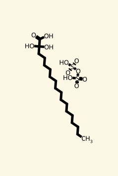 CCCCCCCCCCCCCCCCC(O)(O)C(=O)O.O=S(=O)(O)OS(=O)(=O)O